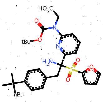 CCCCC(C)(C)c1ccc(CC(N)(c2cccc(N(CC(=O)O)C(=O)OC(C)(C)C)n2)S(=O)(=O)c2ccco2)cc1